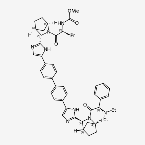 CCN(CC)[C@@H](C(=O)N1[C@@H]2CC[C@@H](C2)[C@H]1c1ncc(-c2ccc(-c3ccc(-c4cnc([C@@H]5[C@H]6CC[C@H](C6)N5C(=O)[C@@H](NC(=O)OC)C(C)C)[nH]4)cc3)cc2)[nH]1)c1ccccc1